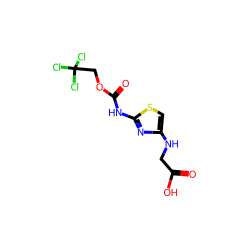 O=C(O)CNc1csc(NC(=O)OCC(Cl)(Cl)Cl)n1